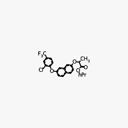 CCCOC(=O)C(C)Oc1ccc2ccc(Oc3ccc(C(F)(F)F)cc3Cl)cc2c1